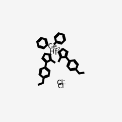 CCc1ccc(C2=CC[C]([Hf+2]([C]3=C(C)C(c4ccc(CC)cc4)=CC3)=[Ge]([c]3ccccc3)[c]3ccccc3)=C2C)cc1.[Cl-].[Cl-]